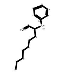 CCCCCCCC(C=O)[Se]c1ccccc1